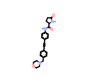 O=C1CCC(C(=O)Nc2ccc(C#Cc3ccc(CN4CCOCC4)cc3)cc2)N1